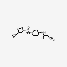 C=CC(=O)NC1CCC(NC(=O)c2cc(C3CC3)on2)CC1